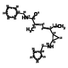 C=C/C(=C\C=C(/C)C(=O)NCc1ccccc1)C1CC1NCc1cccs1